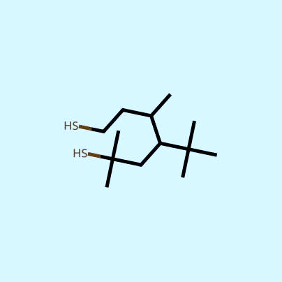 CC(CCS)C(CC(C)(C)S)C(C)(C)C